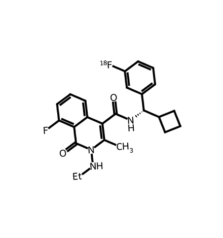 CCNn1c(C)c(C(=O)N[C@H](c2cccc([18F])c2)C2CCC2)c2cccc(F)c2c1=O